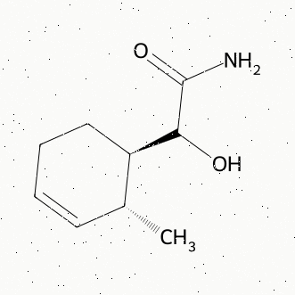 C[C@@H]1C=CCC[C@H]1C(O)C(N)=O